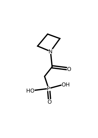 O=C(CP(=O)(O)O)N1CCC1